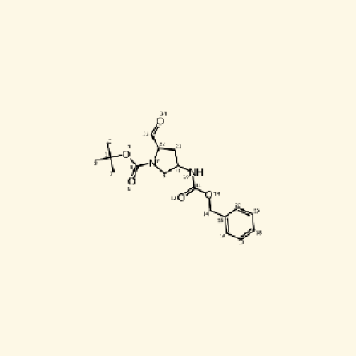 CC(C)(C)OC(=O)N1CC(NC(=O)OCc2ccccc2)C[C@@H]1C=O